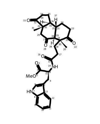 COC(=O)[C@H](Cc1c[nH]c2ccccc12)NC(=O)CC[C@@]1(C)C(=O)CC[C@@H]2[C@@H]1C(=O)C[C@]1(C)C(=O)CC[C@@H]21